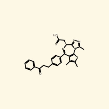 Cc1sc2c(c1C)C(c1ccc(CCC(=O)c3ccccc3)cc1)=N[C@@H](CC(=O)O)c1nnc(C)n1-2